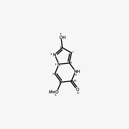 COc1cn2nc(O)cc2[nH]c1=O